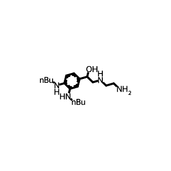 CCCCNc1ccc(C(O)CNCCN)cc1NCCCC